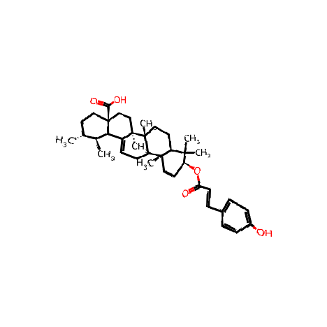 C[C@@H]1CC[C@]2(C(=O)O)CC[C@]3(C)C(=CCC4[C@@]5(C)CC[C@H](OC(=O)/C=C/c6ccc(O)cc6)C(C)(C)C5CC[C@]43C)C2[C@H]1C